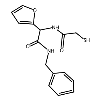 O=C(CS)NC(C(=O)NCc1ccccc1)c1ccco1